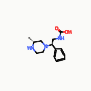 C[C@@H]1CN([C@@H](CNC(=O)O)c2ccccc2)CCN1